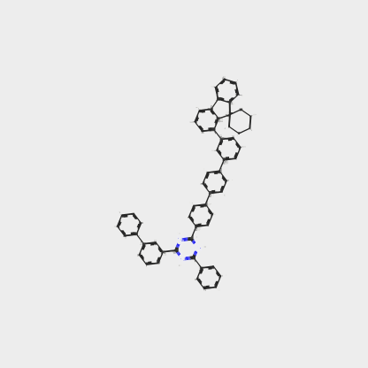 c1ccc(-c2cccc(-c3nc(-c4ccccc4)nc(-c4ccc(-c5ccc(-c6cccc(-c7cccc8c7C7(CCCCC7)c7ccccc7-8)c6)cc5)cc4)n3)c2)cc1